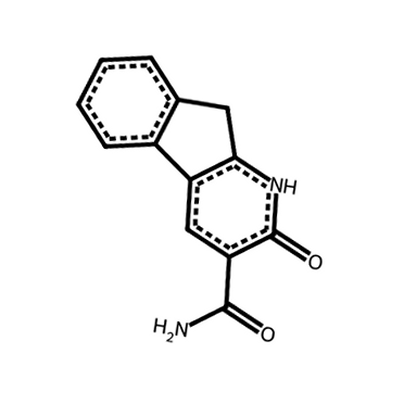 NC(=O)c1cc2c([nH]c1=O)Cc1ccccc1-2